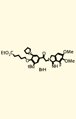 Br.CCOC(=O)CCCCOc1c(N2CCCC2)cc(C(=O)CN2Cc3cc(OC)c(OC)c(F)c3C2=N)cc1C(C)(C)C